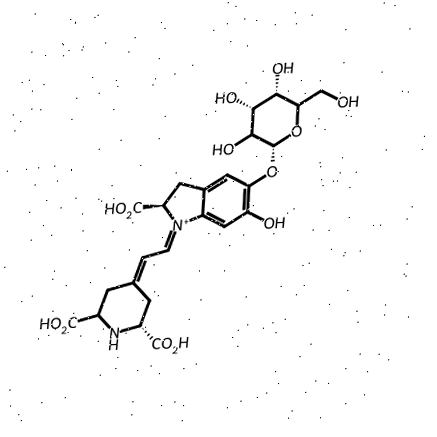 O=C(O)C1C/C(=C/C=[N+]2/c3cc(O)c(O[C@H]4OC(CO)[C@@H](O)[C@@H](O)C4O)cc3C[C@@H]2C(=O)O)C[C@H](C(=O)O)N1